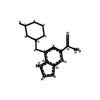 CC1CCCN(Cc2cc(C(N)=O)nc3cn[nH]c23)C1